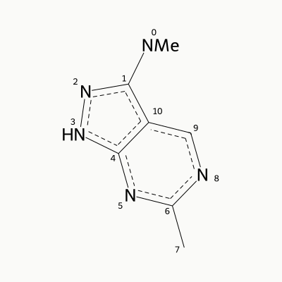 CNc1n[nH]c2nc(C)ncc12